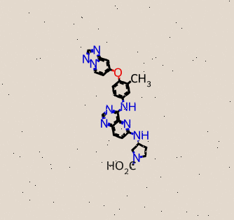 Cc1cc(Nc2ncnc3ccc(N[C@@H]4CCN(C(=O)O)C4)nc23)ccc1Oc1ccn2ncnc2c1